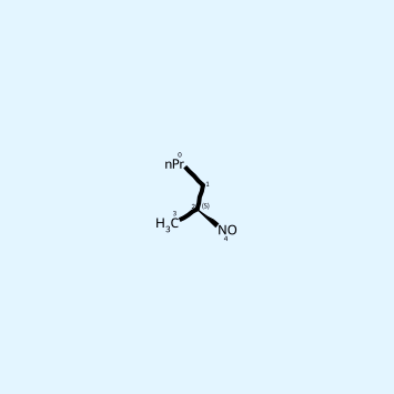 CCCC[C@H](C)N=O